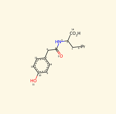 CC(C)CC(NC(=O)Cc1ccc(O)cc1)C(=O)O